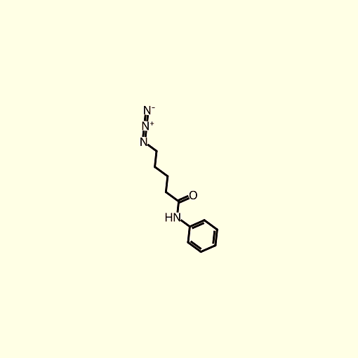 [N-]=[N+]=NCCCCC(=O)Nc1ccccc1